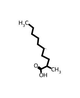 CCCCC[CH]CCC(C)C(=O)O